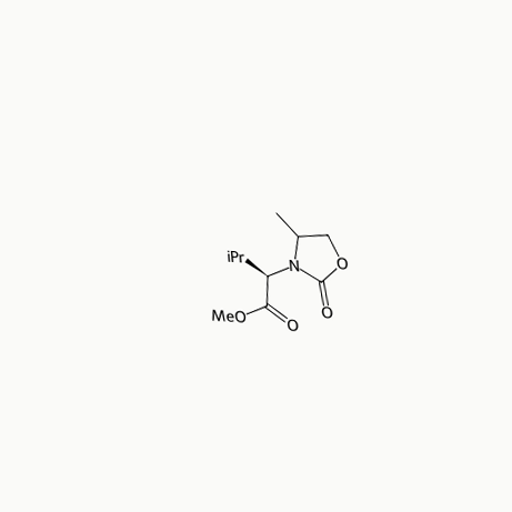 COC(=O)[C@@H](C(C)C)N1C(=O)OCC1C